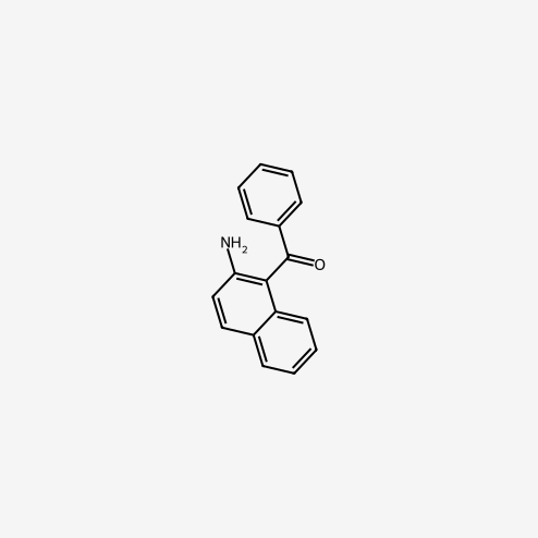 Nc1ccc2ccccc2c1C(=O)c1ccccc1